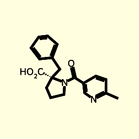 Cc1ccc(C(=O)N2CCC[C@]2(Cc2ccccc2)C(=O)O)cn1